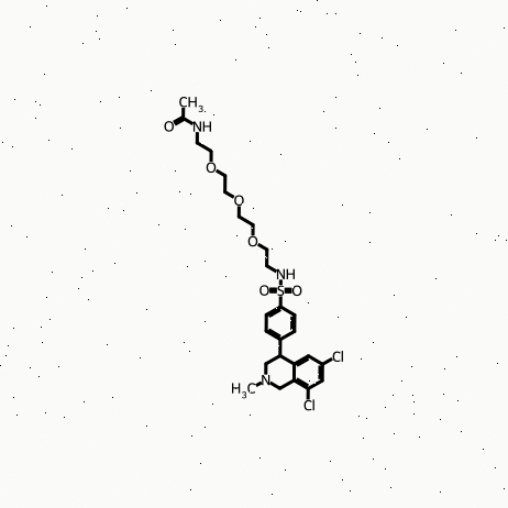 CC(=O)NCCOCCOCCOCCNS(=O)(=O)c1ccc(C2CN(C)Cc3c(Cl)cc(Cl)cc32)cc1